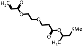 C=CC(=O)OCCOCCC(=O)OC(C)CSC